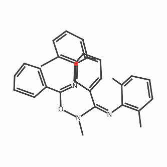 Cc1cccc(C)c1/N=C(/ON(C)/C(=N/c1c(C)cccc1C)c1ccccc1)c1ccccc1